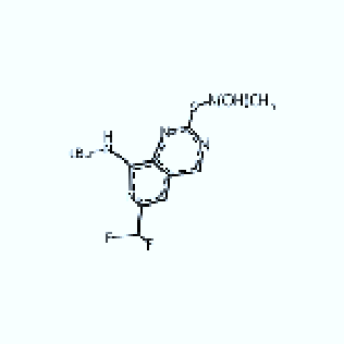 CN(O)Sc1ncc2cc(C(F)F)nc(NC(C)(C)C)c2n1